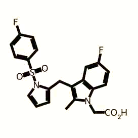 Cc1c(Cc2cccn2S(=O)(=O)c2ccc(F)cc2)c2cc(F)ccc2n1CC(=O)O